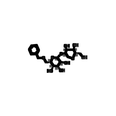 OC[C@@H]1OC[C@@H](O[C@@H]2O[C@@H](COCc3ccccc3)[C@@H](O)[C@@H](O)[C@@H]2O)[C@H](O)[C@H]1O